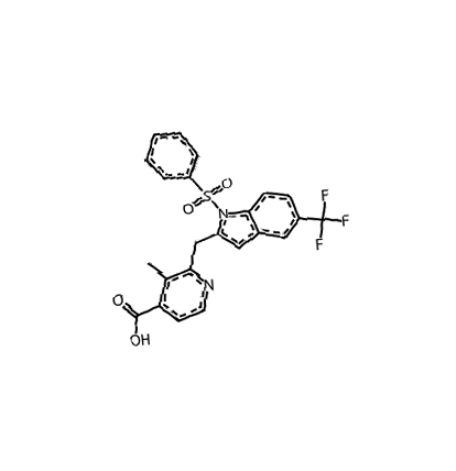 Cc1c(C(=O)O)ccnc1Cc1cc2cc(C(F)(F)F)ccc2n1S(=O)(=O)c1ccccc1